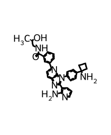 C[C@@H](O)CNC(=O)c1cccc(-c2ccc3nc(-c4cccnc4N)n(-c4ccc(C5(N)CCC5)cc4)c3n2)c1